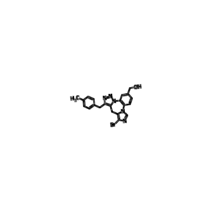 Cc1ccc(Cc2nnn3c2Cc2c(Br)ncn2-c2ccc(CO)cc2-3)cc1